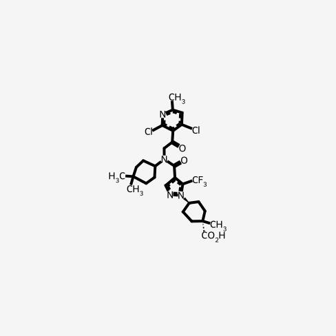 Cc1cc(Cl)c(C(=O)CN(C(=O)c2cnn([C@H]3CC[C@](C)(C(=O)O)CC3)c2C(F)(F)F)C2CCC(C)(C)CC2)c(Cl)n1